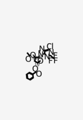 CC(=O)O[C@@H]1C[C@@H](COC(=O)c2ccccc2)O[C@H]1n1cnc2c(Cl)nc(C(F)(F)F)nc21